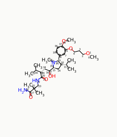 COCCCOc1cc([C@H]2[C@H](C(C)C)C[C@@H]([C@@H](O)C[C@H](C(=O)NCC(C)(C)C(N)=O)C(C)C)N2C)ccc1OC